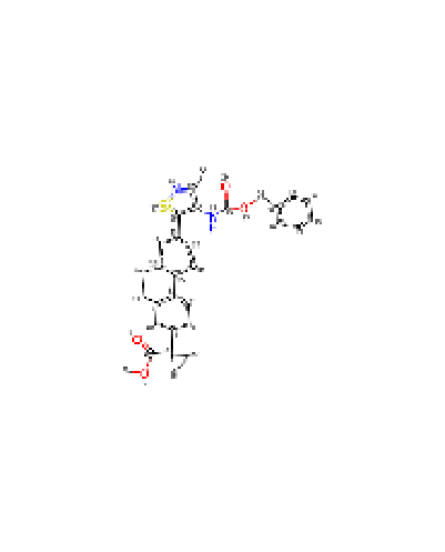 COC(=O)C1(c2ccc3c(c2)CCc2cc(-c4snc(C)c4NC(=O)OCc4ccccc4)ccc2-3)CC1